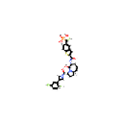 O=C(N[C@H]1CCC[C@H]2CC[C@@H](C(=O)N3CC(c4cc(F)ccc4F)C3)N2C1=O)c1cc2cc(C(F)P(=O)(O)O)ccc2s1